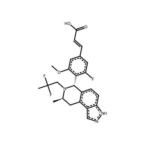 COc1cc(/C=C/C(=O)O)cc(F)c1[C@@H]1c2ccc3[nH]ncc3c2C[C@@H](C)N1CC(C)(F)F